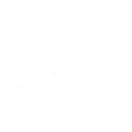 Nc1cccc(C(=O)Nc2ccc3cc(S(=O)(=O)O)c(O)cc3c2)c1